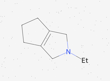 CCN1CC2=C(CCC2)C1